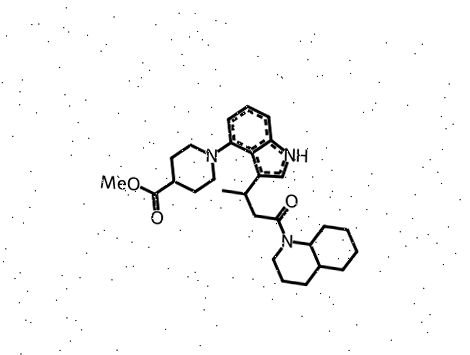 COC(=O)C1CCN(c2cccc3[nH]cc(C(C)CC(=O)N4CCCC5CCCCC54)c23)CC1